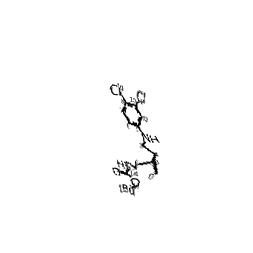 CC(CCNc1ccc(Cl)c(Cl)c1)NC(=O)OC(C)(C)C